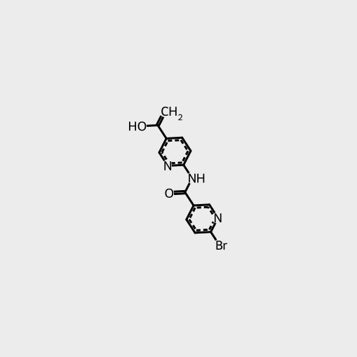 C=C(O)c1ccc(NC(=O)c2ccc(Br)nc2)nc1